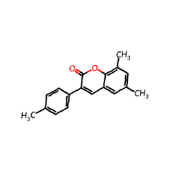 Cc1ccc(-c2cc3cc(C)cc(C)c3oc2=O)cc1